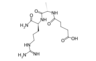 C[C@H](NC(=O)CCCC(=O)O)C(=O)N[C@@H](CCCNC(=N)N)C(N)=O